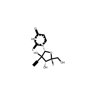 C#CC1(O)[C@@H](O)[C@@](F)(CO)O[C@H]1n1ccc(=O)[nH]c1=S